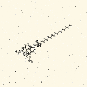 CCCCCCCCCCCCCCCCCCCC(=O)NCc1ccc(Cn2c(CCCC)nc3c(N)nc4ccccc4c32)cc1